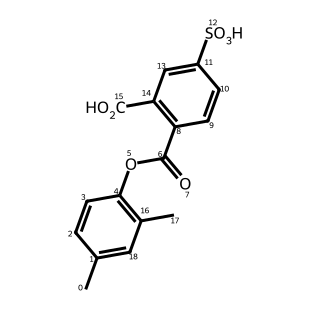 Cc1ccc(OC(=O)c2ccc(S(=O)(=O)O)cc2C(=O)O)c(C)c1